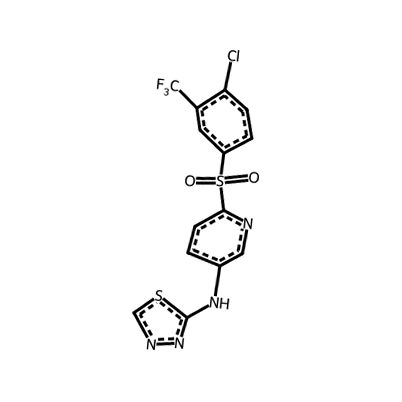 O=S(=O)(c1ccc(Cl)c(C(F)(F)F)c1)c1ccc(Nc2nncs2)cn1